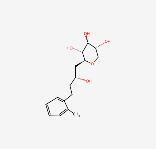 Cc1ccccc1CC[C@@H](O)C[C@@H]1OC[C@@H](O)[C@H](O)[C@H]1O